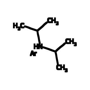 CC(C)NC(C)C.[Ar]